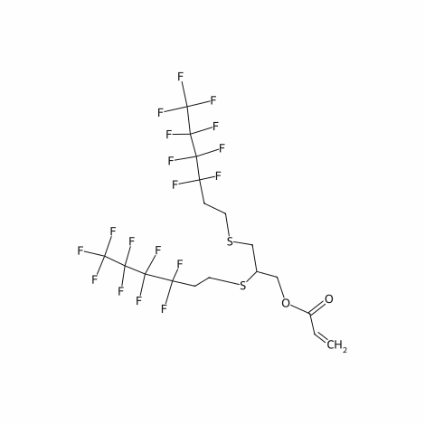 C=CC(=O)OCC(CSCCC(F)(F)C(F)(F)C(F)(F)C(F)(F)F)SCCC(F)(F)C(F)(F)C(F)(F)C(F)(F)F